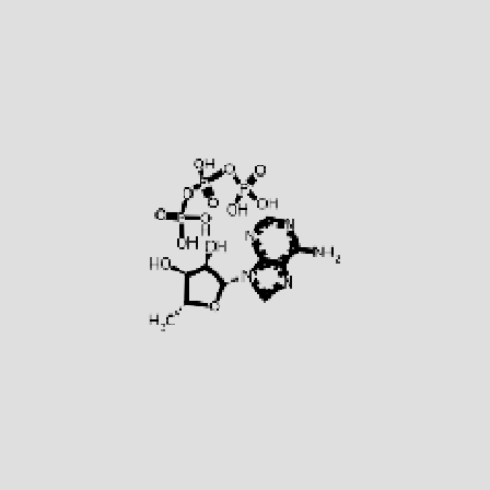 C[C@H]1O[C@@H](n2cnc3c(N)ncnc32)[C@H](O)[C@@H]1O.O=P(O)(O)OP(=O)(O)OP(=O)(O)O